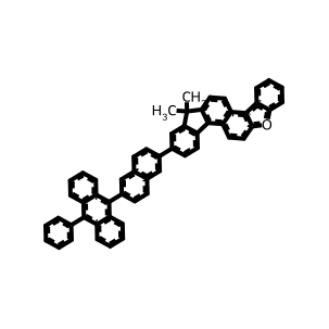 CC1(C)c2cc(-c3ccc4cc(-c5c6ccccc6c(-c6ccccc6)c6ccccc56)ccc4c3)ccc2-c2c1ccc1c2ccc2oc3ccccc3c21